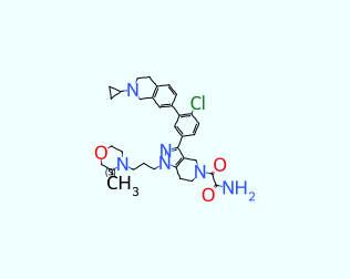 C[C@H]1COCCN1CCCn1nc(-c2ccc(Cl)c(-c3ccc4c(c3)CN(C3CC3)CC4)c2)c2c1CCN(C(=O)C(N)=O)C2